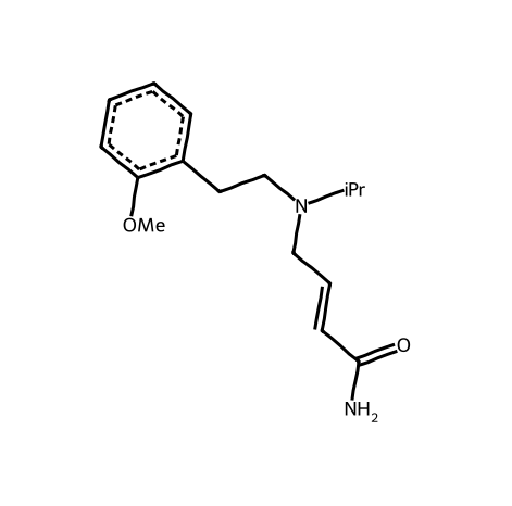 COc1ccccc1CCN(CC=CC(N)=O)C(C)C